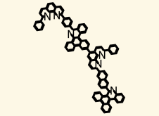 c1ccc(-c2ccc3ccc4ccc(-c5ccc(-c6nc7c8ccccc8c8cc(-c9cc%10ccc(-c%11ccc%12cc(-c%13nc%14ccccc%14c%14c%15ccccc%15c%15ccccc%15c%13%14)ccc%12c%11)nc%10c%10nc(-c%11ccccc%11)ccc9%10)ccc8c7c7ccccc67)cc5)nc4c3n2)cc1